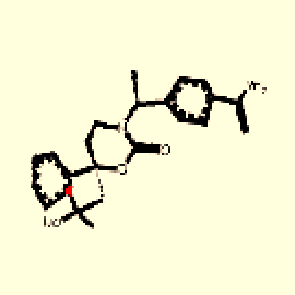 C=C(N)c1ccc([C@H](C)N2CC[C@](CC(C)(C)O)(c3ccccc3)OC2=O)cc1